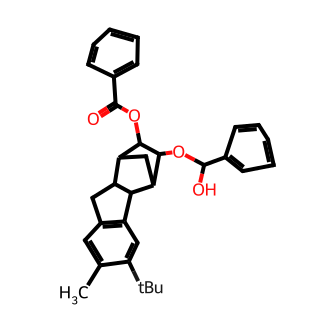 Cc1cc2c(cc1C(C)(C)C)C1C(C2)C2CC1C(OC(O)c1ccccc1)C2OC(=O)c1ccccc1